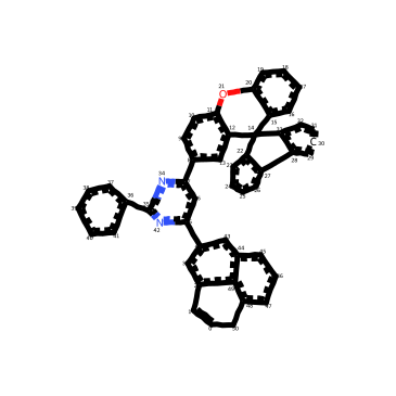 C1=Cc2cc(-c3cc(-c4ccc5c(c4)C4(c6ccccc6O5)c5ccccc5-c5ccccc54)nc(-c4ccccc4)n3)cc3cccc(c23)C1